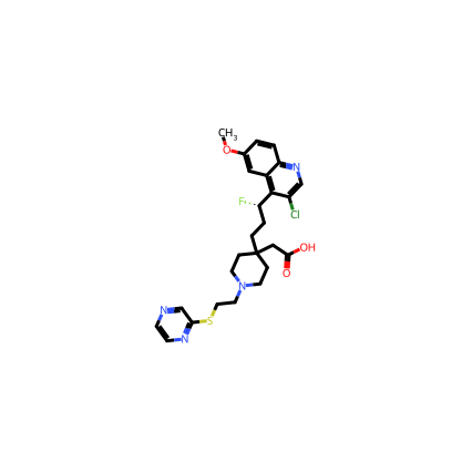 COc1ccc2ncc(Cl)c([C@@H](F)CCC3(CC(=O)O)CCN(CCSc4cnccn4)CC3)c2c1